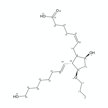 CCCO[C@@H]1C[C@H](O)C(C/C=C\CCCC(=O)O)[C@H]1/C=C/CCCCCCO